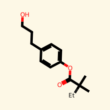 CCC(C)(C)C(=O)Oc1ccc(CCCO)cc1